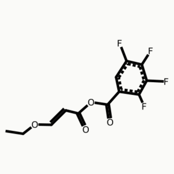 CCOC=CC(=O)OC(=O)c1cc(F)c(F)c(F)c1F